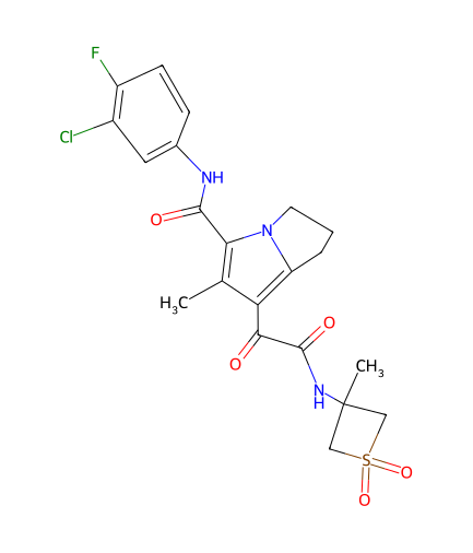 Cc1c(C(=O)C(=O)NC2(C)CS(=O)(=O)C2)c2n(c1C(=O)Nc1ccc(F)c(Cl)c1)CCC2